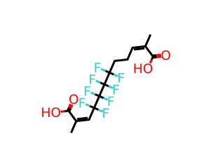 CC(=CCCC(F)(F)C(F)(F)C(F)(F)C(F)(F)C=C(C)C(=O)O)C(=O)O